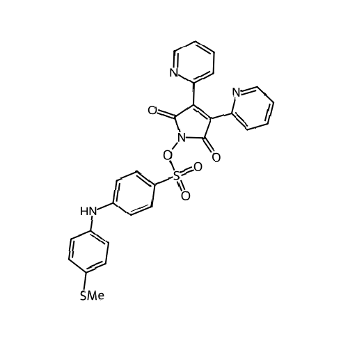 CSc1ccc(Nc2ccc(S(=O)(=O)ON3C(=O)C(c4ccccn4)=C(c4ccccn4)C3=O)cc2)cc1